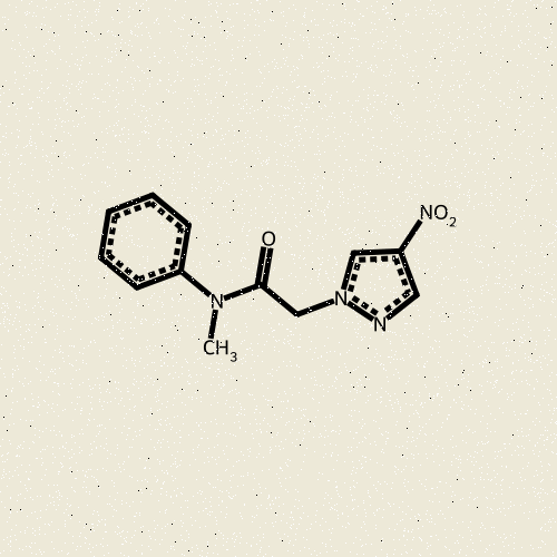 CN(C(=O)Cn1cc([N+](=O)[O-])cn1)c1ccccc1